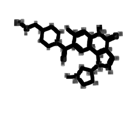 CCOCC1CCN(C(=O)c2cc3c(cc2C)[nH]c(=O)c2cnn([C@H]4CCN(C)C4)c23)CC1